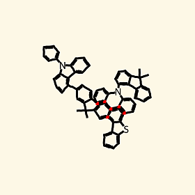 CC1(C)c2ccc(-c3ccccc3N(c3ccccc3-c3ccc4sc5ccccc5c4c3)c3cccc4c3-c3ccccc3C4(C)C)cc2-c2ccc(-c3cccc4c3c3ccccc3n4-c3ccccc3)cc21